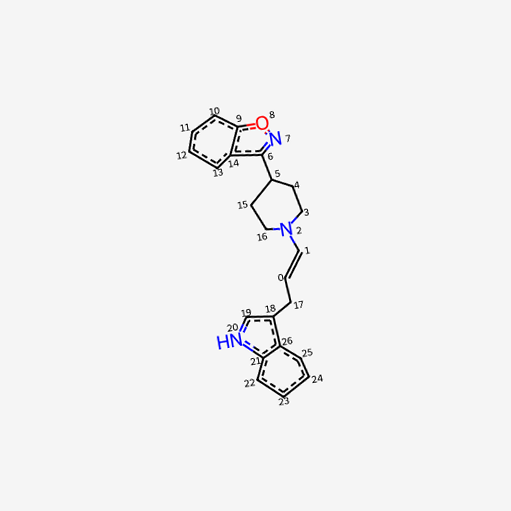 C(=CN1CCC(c2noc3ccccc23)CC1)Cc1c[nH]c2ccccc12